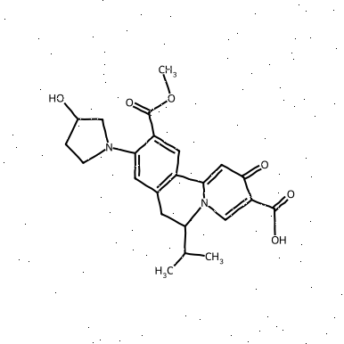 COC(=O)c1cc2c(cc1N1CCC(O)C1)CC(C(C)C)n1cc(C(=O)O)c(=O)cc1-2